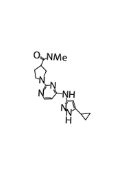 CNC(=O)C1CCN(c2nccc(Nc3cc(C4CC4)[nH]n3)n2)C1